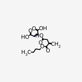 C=C(CC(=O)O)C(=O)OCCCC.O=C(O)/C=C\C(=O)O